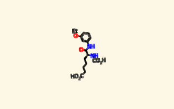 CCOc1cccc(NC(=O)[C@H](CCCCC(=O)O)NC(=O)O)c1